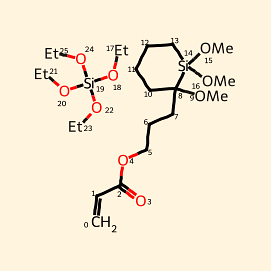 C=CC(=O)OCCCC1(OC)CCCC[Si]1(OC)OC.CCO[Si](OCC)(OCC)OCC